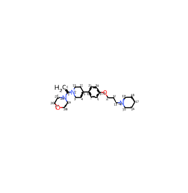 C=C(N1CC=C(c2ccc(OCCCN3CCCCC3)cc2)CC1)N1CCOCC1